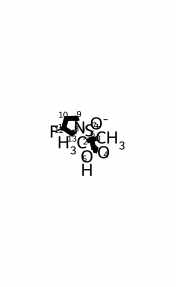 CC(C)(C(=O)O)[S+]([O-])N1CC[C@@H](F)C1